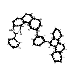 c1ccc(C2Nc3ccc4ccc5ccc(-c6cccc(-c7cc8c9ccccc9ccc8c8ccccc78)c6)cc5c4c3O2)nc1